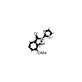 COc1cccc2c(=O)n(-c3nccs3)[se]c12